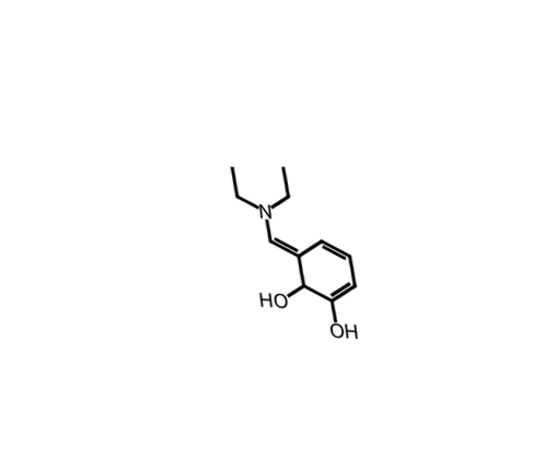 CCN(C=C1C=CC=C(O)C1O)CC